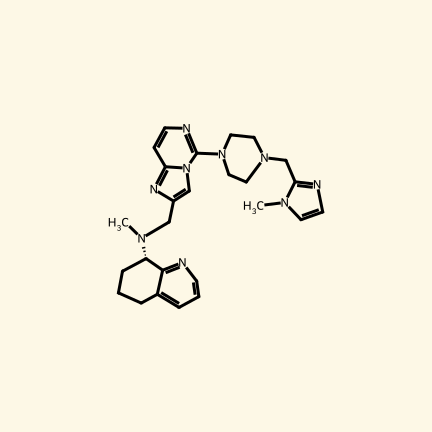 CN(Cc1cn2c(N3CCN(Cc4nccn4C)CC3)nccc2n1)[C@H]1CCCc2cccnc21